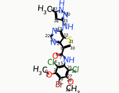 COc1c(Cl)c(NC(=O)c2csc3c(Nc4cc(C)[nH]n4)ncnc23)c(Cl)c(OC)c1Br